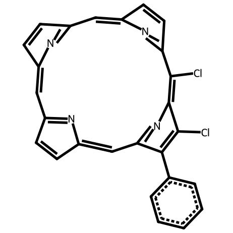 ClC1=C2N=C(C=C3C=CC(=N3)C=C3C=CC(=N3)C=C3C=CC1=N3)C(c1ccccc1)=C2Cl